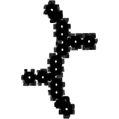 c1ccc(-c2ccc(N(c3ccc4cc(-c5ccc(N(c6ccc(-c7ccccc7)cc6)c6ccc7cc(-c8nc9ccccc9s8)ccc7c6)cc5)ccc4c3)c3ccc4cc(-c5nc6ccccc6o5)ccc4c3)cc2)cc1